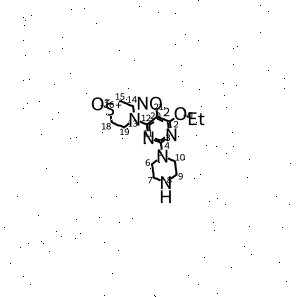 CCOc1nc(N2CCNCC2)nc(N2CC[S+]([O-])CC2)c1[N+](=O)[O-]